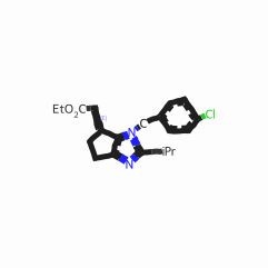 CCOC(=O)/C=C1\CCc2nc(C(C)C)n(Cc3ccc(Cl)cc3)c21